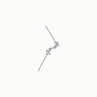 CCCCCCCCCCCCCCCCOC(=O)C(=O)OOC(C)(C)CCC(C)(C)OOC(=O)C(=O)OCCCCCCCCCCCCCCCC